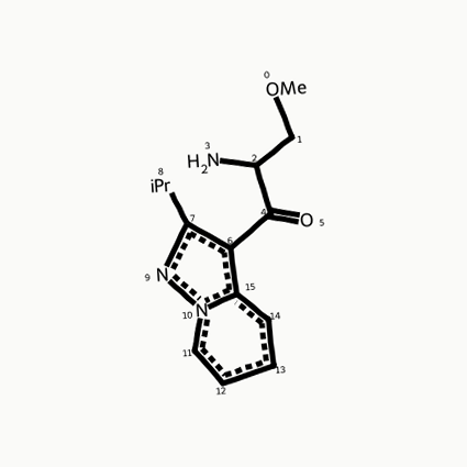 COCC(N)C(=O)c1c(C(C)C)nn2ccccc12